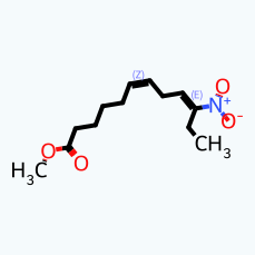 CC/C(=C\C/C=C\CCCCC(=O)OC)[N+](=O)[O-]